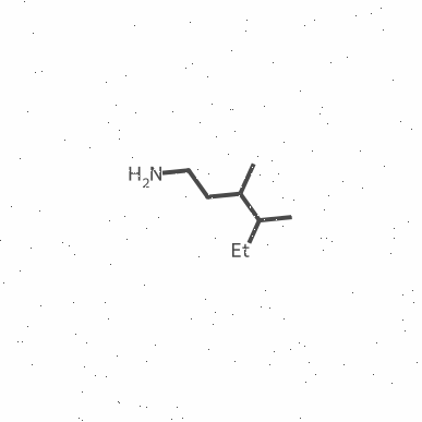 CCC(C)C(C)CCN